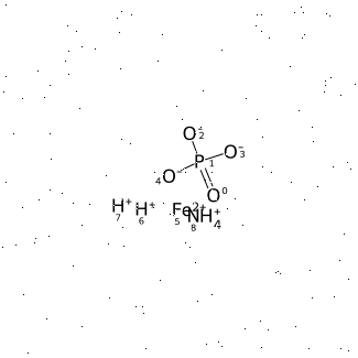 O=P([O-])([O-])[O-].[Fe+2].[H+].[H+].[NH4+]